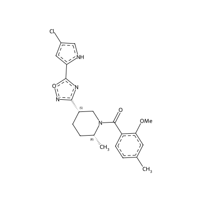 COc1cc(C)ccc1C(=O)N1C[C@@H](c2noc(-c3cc(Cl)c[nH]3)n2)CC[C@H]1C